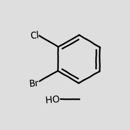 CO.Clc1ccccc1Br